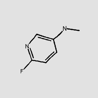 C[N]c1ccc(F)nc1